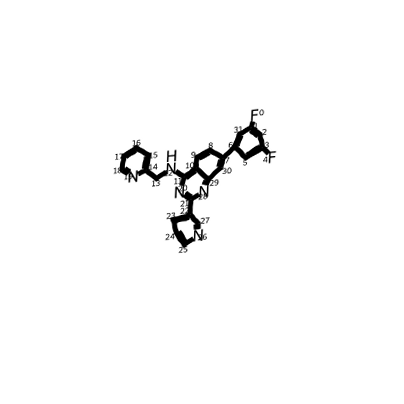 Fc1cc(F)cc(-c2ccc3c(NCc4ccccn4)nc(-c4cccnc4)nc3c2)c1